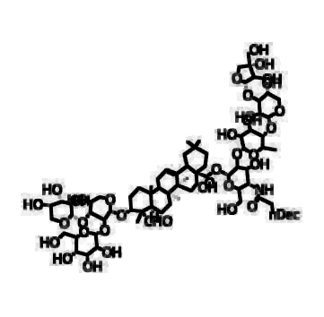 CCCCCCCCCCCC(=O)N[C@H]1C(CO)O[C@@H](OC(=O)[C@]23CCC(C)(C)CC2C2=CCC4C5(C)CC[C@H](O[C@@H]6OC[C@@H](O)[C@H](O[C@@H]7OC[C@@H](O)[C@H](O)C7O)C6O[C@@H]6OC(CO)[C@H](O)[C@H](O)C6O)[C@](C)(C=O)[C@@H]5CC[C@]4(C)[C@]2(C)CC3O)C(O[C@@H]2OC(C)[C@H](O[C@@H]3OC[C@@H](O)C(O[C@@H]4OC[C@@](O)(CO)C4O)C3O)C(O)C2O)C1O